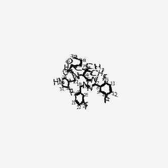 CC(C)(C)C(c1nc(-c2cc(F)ccc2F)nn1Cc1cccc(F)c1)N(C[C@@H]1CNC[C@@H]1F)C(=O)C1CCCO1